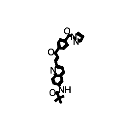 CC(C)(C)C(=O)Nc1ccc2nc(C=CC(=O)c3ccc(C(=O)n4cccn4)cc3)ccc2c1